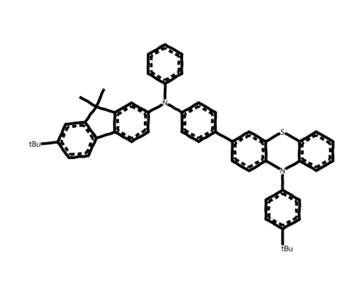 CC(C)(C)c1ccc(N2c3ccccc3Sc3cc(-c4ccc(N(c5ccccc5)c5ccc6c(c5)C(C)(C)c5cc(C(C)(C)C)ccc5-6)cc4)ccc32)cc1